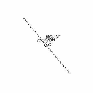 CCCCCCCCCCCCCCCCCCC(=O)OC(COC(=O)CCCCCCCCCCCCCC)COP(=O)(O)OCC[N+](C)(C)C